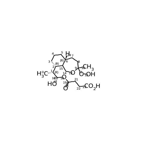 C[C@H]([C@@H]1CCC[C@@H]2CCC(C)(OO)OCC21)[C@@H](O)OC(=O)CCC(=O)O